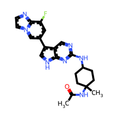 CC(=O)NC1(C)CCC(Nc2ncc3c(-c4cc(F)c5nccn5c4)c[nH]c3n2)CC1